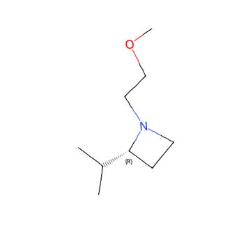 COCCN1CC[C@@H]1C(C)C